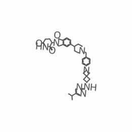 CC(C)c1cnc(NC2CC3(C2)CN(c2ccc(CN4CCC(c5ccc6c(c5)CN(C5CCC(=O)NC5=O)C6=O)CC4)cc2)C3)nc1